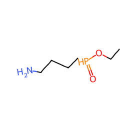 CCO[PH](=O)CCCCN